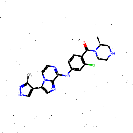 C[C@H]1CNCCN1C(=O)c1ccc(Nc2nccn3c(-c4c[nH]nc4C(F)(F)F)cnc23)cc1Cl